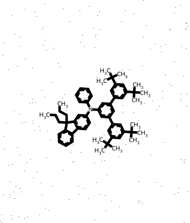 CCCC1(CCC)c2ccccc2-c2ccc(N(c3ccccc3)c3cc(-c4cc(C(C)(C)C)cc(C(C)(C)C)c4)cc(-c4cc(C(C)(C)C)cc(C(C)(C)C)c4)c3)cc21